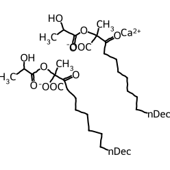 CCCCCCCCCCCCCCCCCC(=O)C(C)(OC(=O)C(C)O)C(=O)[O-].CCCCCCCCCCCCCCCCCC(=O)C(C)(OC(=O)C(C)O)C(=O)[O-].[Ca+2]